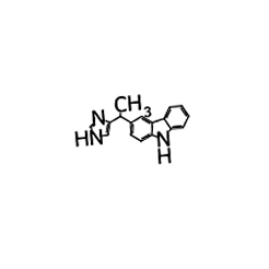 CC(c1ccc2[nH]c3ccccc3c2c1)c1c[nH]cn1